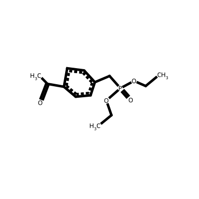 CCOP(=O)(Cc1ccc(C(C)=O)cc1)OCC